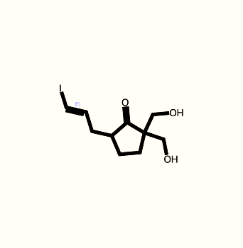 O=C1C(C/C=C/I)CCC1(CO)CO